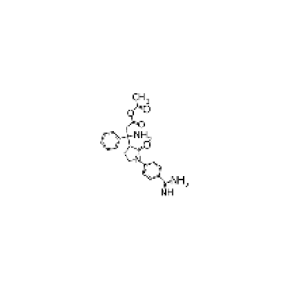 CC(=O)OC(=O)CC(N)(c1ccccc1)C1CCN(c2ccc(C(=N)N)cc2)C1=O